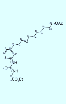 CCOC(=O)CNC(=O)Nc1cccc(CCCOCCCCCCCOC(C)=O)c1